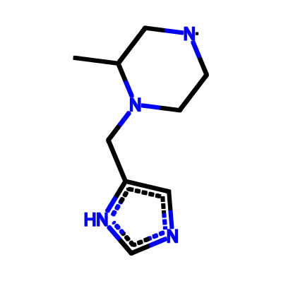 CC1C[N]CCN1Cc1cnc[nH]1